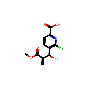 C=C(C(=O)OC)C(O)c1ccc(C(=O)O)nc1Cl